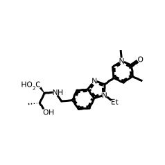 CCn1c(-c2cc(C)c(=O)n(C)c2)nc2cc(CN[C@H](C(=O)O)[C@@H](C)O)ccc21